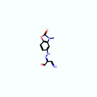 Cn1c(=O)oc2ccc(N/N=C(\C=N)C=O)cc21